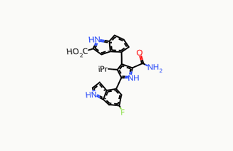 CC(C)c1c(-c2cc(F)cc3[nH]ccc23)[nH]c(C(N)=O)c1-c1cccc2[nH]c(C(=O)O)cc12